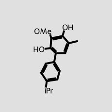 COc1c(O)c(C)cc(-c2ccc(C(C)C)cc2)c1O